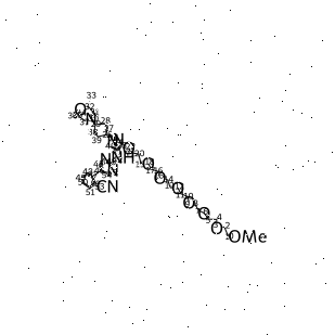 COCCOCCOCCOCCOCCOCCOCCCOc1nn(C2CCC(N3C[C@@H](C)O[C@@H](C)C3)CC2)cc1Nc1ncc(-c2ccccc2C#N)cn1